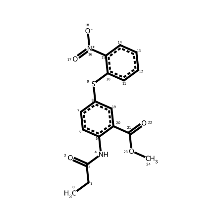 CCC(=O)Nc1ccc(Sc2ccccc2[N+](=O)[O-])cc1C(=O)OC